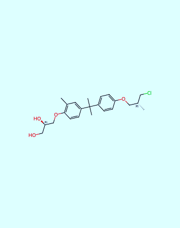 Cc1cc(C(C)(C)c2ccc(OC[C@@H](C)CCl)cc2)ccc1OC[C@H](O)CO